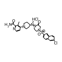 Cc1c(N2CCC(N(C)N3CCN(S(=O)(=O)c4ccc5cc(Cl)ccc5c4)CC3=O)CC2)ccnc1C(N)=O.Cl